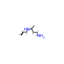 C=CCNC(C)CCN